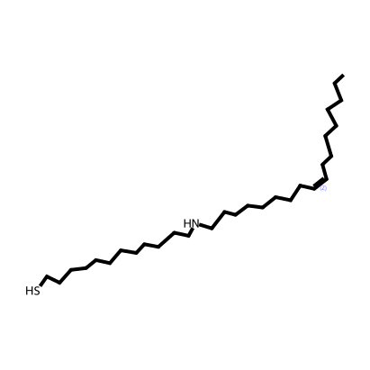 CCCCCCCC/C=C\CCCCCCCCNCCCCCCCCCCCCS